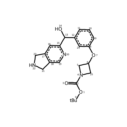 CC(C)(C)OC(=O)N1CC(Oc2cccc(C(O)c3cc4c(cn3)CNC4)c2)C1